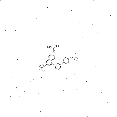 CC(C)(c1cc(-c2cccc(-c3ccc(CC4CCC4)cc3)c2)c2ncccc2c1)S(C)(=O)=O.O=C(O)O